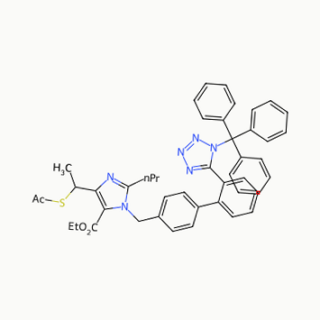 CCCc1nc(C(C)SC(C)=O)c(C(=O)OCC)n1Cc1ccc(-c2ccccc2-c2nnnn2C(c2ccccc2)(c2ccccc2)c2ccccc2)cc1